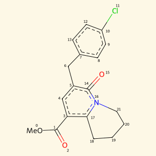 COC(=O)c1cc(Cc2ccc(Cl)cc2)c(=O)n2c1CCCC2